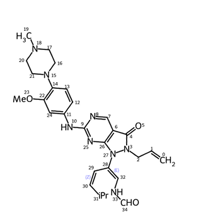 C=CCn1c(=O)c2cnc(Nc3ccc(N4CCN(C)CC4)c(OC)c3)nc2n1C(/C=C\C(C)C)=C/NC=O